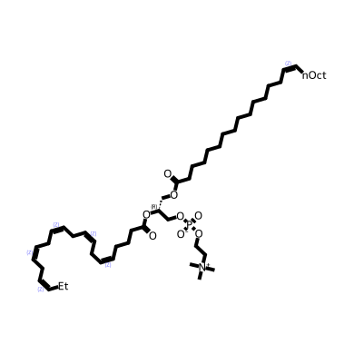 CC/C=C\C/C=C\C/C=C\C/C=C\C/C=C\CCCC(=O)O[C@H](COC(=O)CCCCCCCCCCCCC/C=C\CCCCCCCC)COP(=O)([O-])OCC[N+](C)(C)C